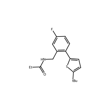 CCC(=O)NCc1cc(F)ccc1-c1ccc(C(C)(C)C)s1